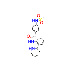 CS(=O)(=O)Nc1ccc(C2C(=O)Nc3c(C4=CC=CC=CN4)cccc32)cc1